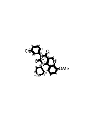 COc1cccc2c1ncc1c(=O)n(-c3cccc(Cl)c3)c(=O)n(C3CCNCC3)c12